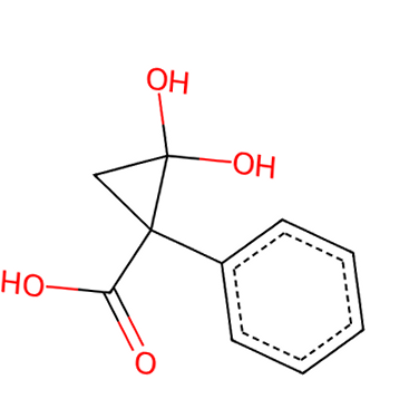 O=C(O)C1(c2ccccc2)CC1(O)O